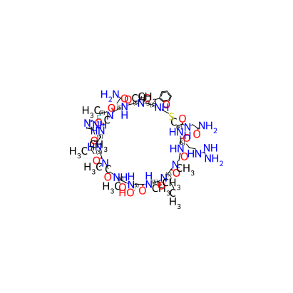 CCCC[C@H]1C(=O)N(C)CC(=O)N[C@@H](CCCNC(=N)N)C(=O)N[C@H](C(=O)NCC(N)=O)CSCC(=O)N[C@@H](Cc2ccccc2)C(=O)N(C)[C@@H](C)C(=O)N[C@@H](CC(N)=O)C(=O)N(C[C@@H](C)F)CC(=O)N[C@@H](Cc2cnc[nH]2)C(=O)N[C@@H](CC(C)C)C(=O)N(C)CC(=O)N[C@@H](C)C(=O)N[C@@H](CO)C(=O)N[C@@H](C)C(=O)N1C